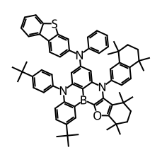 CC(C)(C)c1ccc(N2c3ccc(C(C)(C)C)cc3B3c4oc5c(c4N(c4ccc6c(c4)C(C)(C)CCC6(C)C)c4cc(N(c6ccccc6)c6ccc7c(c6)sc6ccccc67)cc2c43)C(C)(C)CCC5(C)C)cc1